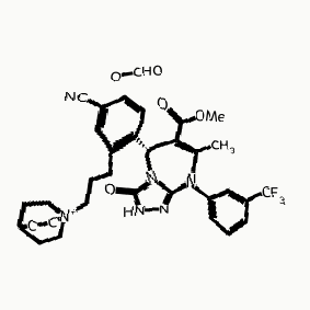 COC(=O)C1=C(C)N(c2cccc(C(F)(F)F)c2)c2n[nH]c(=O)n2[C@@H]1c1ccc(C#N)cc1CCC[N+]12CCC(CC1)CC2.O=C[O-]